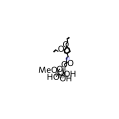 C=CCOc1ccc(/C=C/C(=O)OC[C@H]2OC(OC)[C@H](O)[C@@H](O)[C@@H]2O)cc1OCC=C